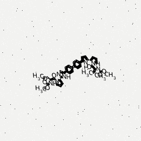 COC[C@H](NC(=O)OC)C(=O)N1CCC[C@H]1c1ncc(-c2ccc(-c3ccc(-c4ccc([C@@H]5CCCN5C(=O)[C@@H](NC(=O)OC)C(C)C)[nH]4)cc3)cc2)[nH]1